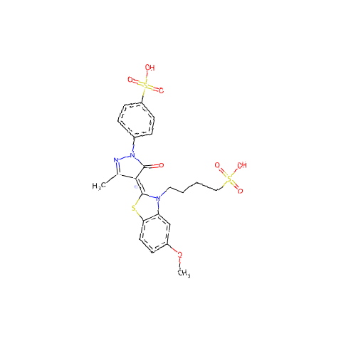 COc1ccc2c(c1)N(CCCCS(=O)(=O)O)/C(=C1\C(=O)N(c3ccc(S(=O)(=O)O)cc3)N=C1C)S2